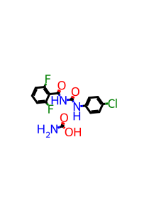 NC(=O)O.O=C(NC(=O)c1c(F)cccc1F)Nc1ccc(Cl)cc1